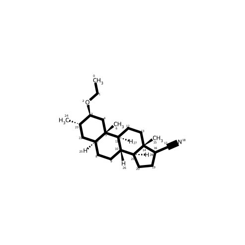 CCO[C@H]1C[C@@]2(C)[C@@H](CC[C@@H]3[C@@H]2CC[C@]2(C)C(C#N)CC[C@@H]32)C[C@@H]1C